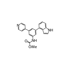 COC(=O)Nc1cc(-c2ccncc2)cc(-c2cccc3[nH]ccc23)c1